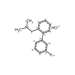 CN(C)Cc1ccccc1-c1cccc(F)c1.Cl